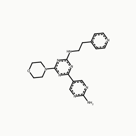 Nc1ncc(-c2nc(NCCc3ccncc3)nc(N3CCOCC3)n2)cn1